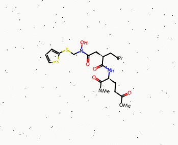 CNC(=O)[C@H](CCC(=O)OC)NC(=O)[C@@H](CC(=O)N(O)CSc1cccs1)CC(C)C